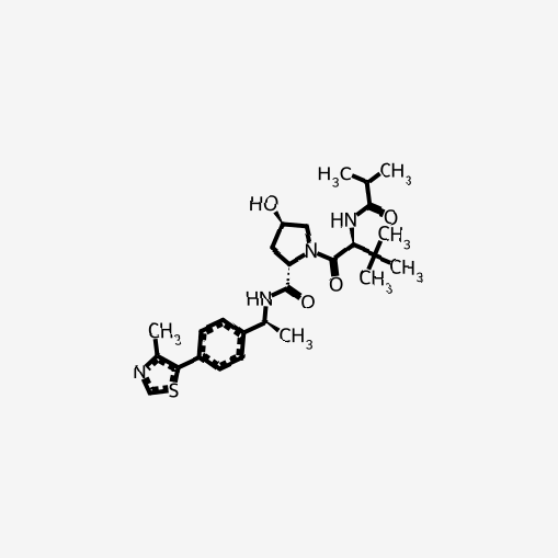 Cc1ncsc1-c1ccc([C@H](C)NC(=O)[C@@H]2C[C@@H](O)CN2C(=O)[C@@H](NC(=O)C(C)C)C(C)(C)C)cc1